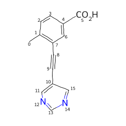 Cc1ccc(C(=O)O)cc1C#Cc1cncnc1